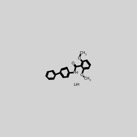 COc1cccc(OC)c1C(=O)Pc1ccc(-c2ccccc2)cc1.[LiH]